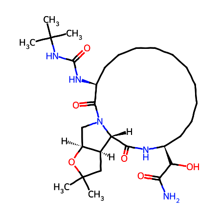 CC(C)(C)NC(=O)N[C@H]1CCCCCCCCCC[C@@H](C(O)C(N)=O)NC(=O)[C@@H]2[C@H]3CC(C)(C)O[C@H]3CN2C1=O